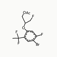 CC(=O)OCC(CF)Oc1cc(F)c(Br)cc1C(C)(F)F